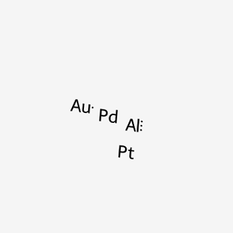 [Al].[Au].[Pd].[Pt]